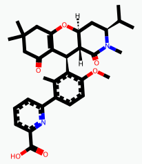 COc1ccc(-c2cccc(C(=O)O)n2)c(C)c1[C@H]1C2=C(CC(C)(C)CC2=O)O[C@H]2C[C@@H](C(C)C)N(C)C(=O)[C@@H]21